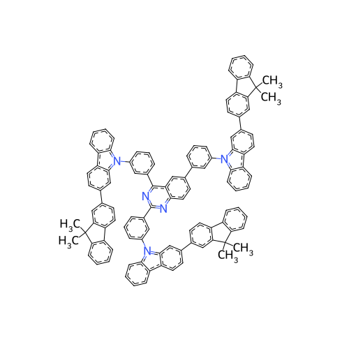 CC1(C)c2ccccc2-c2ccc(-c3ccc4c5ccccc5n(-c5cccc(-c6ccc7nc(-c8cccc(-n9c%10ccccc%10c%10ccc(-c%11ccc%12c(c%11)C(C)(C)c%11ccccc%11-%12)cc%109)c8)nc(-c8cccc(-n9c%10ccccc%10c%10ccc(-c%11ccc%12c(c%11)C(C)(C)c%11ccccc%11-%12)cc%109)c8)c7c6)c5)c4c3)cc21